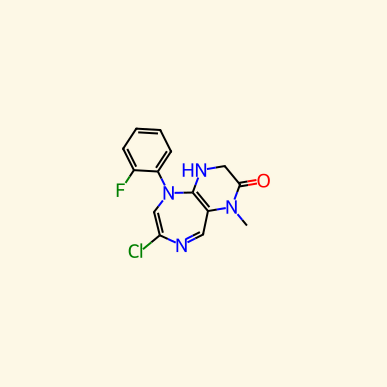 CN1C(=O)CNC2=C1C=NC(Cl)=CN2c1ccccc1F